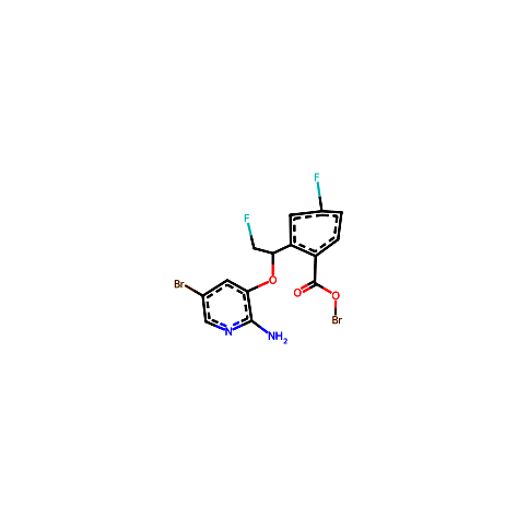 Nc1ncc(Br)cc1OC(CF)c1cc(F)ccc1C(=O)OBr